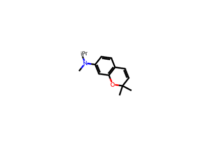 CC(C)N(C)c1ccc2c(c1)OC(C)(C)C=C2